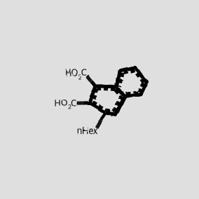 CCCCCCc1cc2ccccc2c(C(=O)O)c1C(=O)O